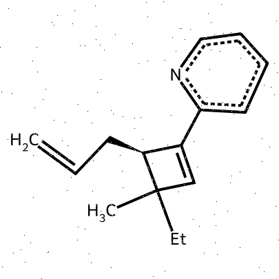 C=CC[C@H]1C(c2ccccn2)=CC1(C)CC